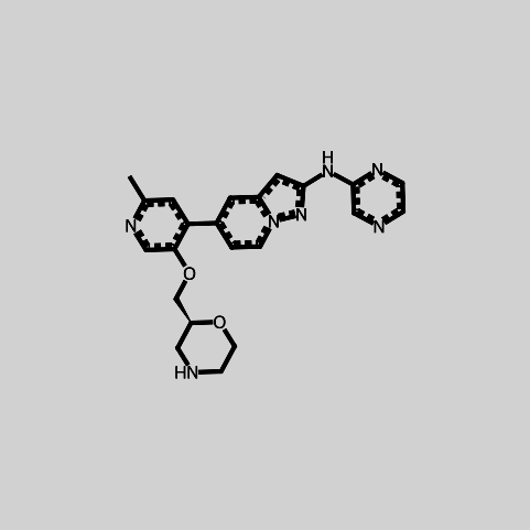 Cc1cc(-c2ccn3nc(Nc4cnccn4)cc3c2)c(OC[C@@H]2CNCCO2)cn1